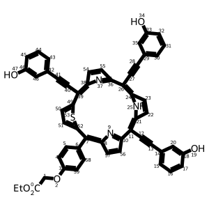 CCOC(=O)COc1ccc(-c2c3nc(c(C#Cc4cccc(O)c4)c4ccc([nH]4)c(C#Cc4cccc(O)c4)c4nc(c(C#Cc5cccc(O)c5)c5ccc2s5)C=C4)C=C3)cc1